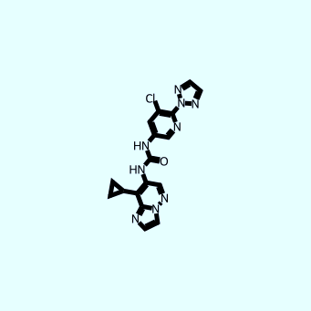 O=C(Nc1cnc(-n2nccn2)c(Cl)c1)Nc1cnn2ccnc2c1C1CC1